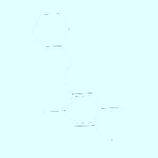 COc1cc(Br)c(OCC2CCCCO2)cc1Br